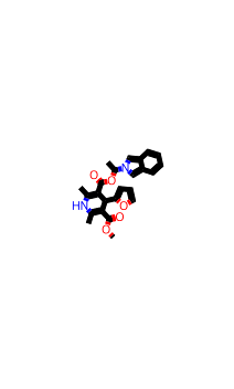 COC(=O)C1=C(C)NC(C)=C(C(=O)OC(C)n2cc3ccccc3c2)C1c1ccco1